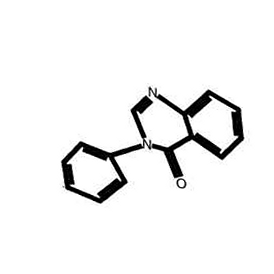 O=c1c2ccccc2ncn1-c1cc[c]cc1